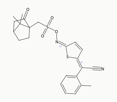 Cc1ccccc1/C(C#N)=C1C=C/C(=N\OS(=O)(=O)CC23CCC(CC2=O)C3(C)C)S/1